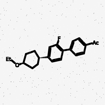 CCO[C@H]1CC[C@H](c2ccc(-c3ccc(C(C)=O)cc3)c(F)c2)CC1